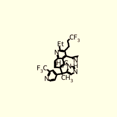 CCc1nc2ccc(C(C)(c3ccnc(C(F)(F)F)c3)c3cncn3C)cc2c(C2CN2)c1CCC(F)(F)F